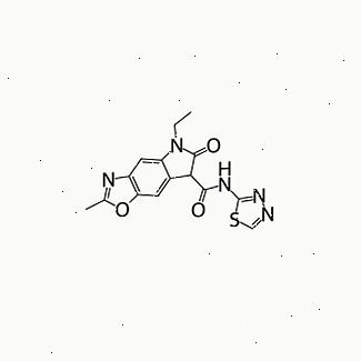 CCN1C(=O)C(C(=O)Nc2nncs2)c2cc3oc(C)nc3cc21